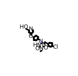 CCn1c(=O)[nH]/c(=N\c2ccc(Oc3ccnc(CO)c3)cc2)n(Cc2ccc(Cl)cc2)c1=O